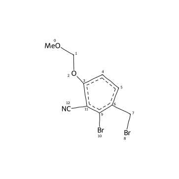 COCOc1ccc(CBr)c(Br)c1C#N